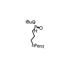 CCCCCCCC[PH](=O)OCC(C)C